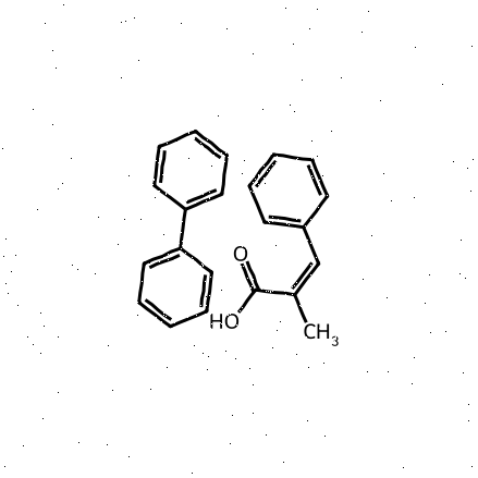 CC(=Cc1ccccc1)C(=O)O.c1ccc(-c2ccccc2)cc1